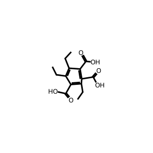 CCc1c(CC)c(C(=O)O)c(C(=O)O)c(CC)c1C(=O)O